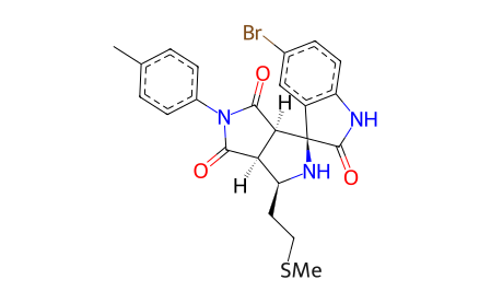 CSCC[C@@H]1N[C@@]2(C(=O)Nc3ccc(Br)cc32)[C@@H]2C(=O)N(c3ccc(C)cc3)C(=O)[C@H]12